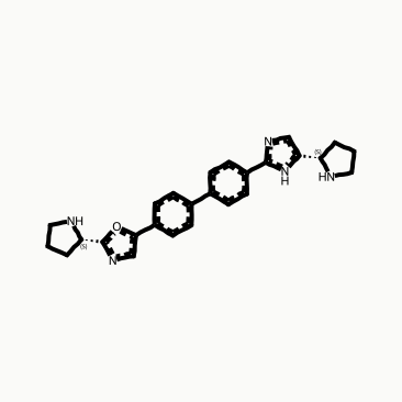 c1cc(-c2ncc([C@@H]3CCCN3)[nH]2)ccc1-c1ccc(-c2cnc([C@@H]3CCCN3)o2)cc1